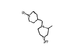 CC(C)N1CCC(CN2CCN(C(C)C)CC2C)CC1